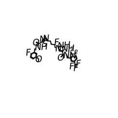 COc1ccc(F)c(CNC(=O)c2nnc(CCC(F)CN(N)/C=C(\N)C(=O)NCc3cc(C(F)(F)F)ccn3)s2)c1